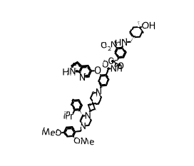 COc1ccc(CN2CCN(C3CC4(CCN(c5ccc(C(=O)NS(=O)(=O)c6ccc(NC[C@H]7CC[C@](C)(O)CC7)c([N+](=O)[O-])c6)c(Oc6cnc7[nH]ccc7c6)c5)CC4)C3)[C@@H](c3ccccc3C(C)C)C2)c(OC)c1